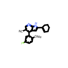 COc1ccc(F)cc1-c1c(C#N)cnc2[nH]c(C3=CC[CH]CC3)cc12